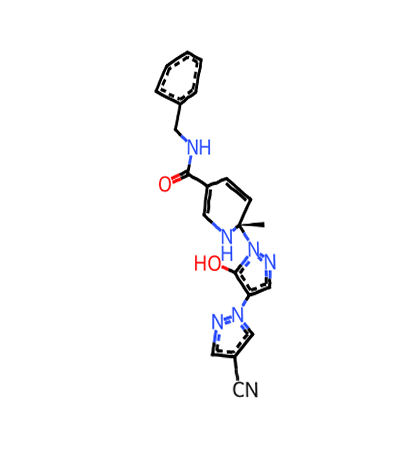 C[C@]1(n2ncc(-n3cc(C#N)cn3)c2O)C=CC(C(=O)NCc2ccccc2)=CN1